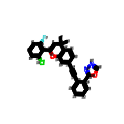 CC1(C)C=C(c2c(F)cccc2Cl)Oc2cc(C#Cc3ccccc3-c3nnco3)ccc21